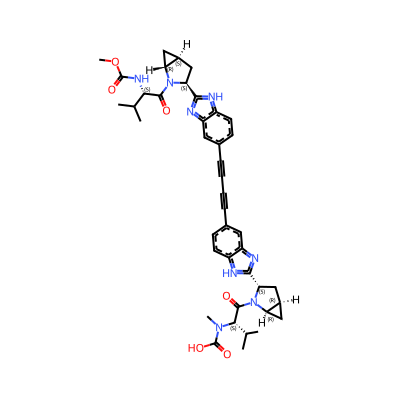 COC(=O)N[C@H](C(=O)N1[C@@H]2C[C@H]2C[C@H]1c1nc2cc(C#CC#Cc3ccc4[nH]c([C@@H]5C[C@H]6C[C@H]6N5C(=O)[C@H](C(C)C)N(C)C(=O)O)nc4c3)ccc2[nH]1)C(C)C